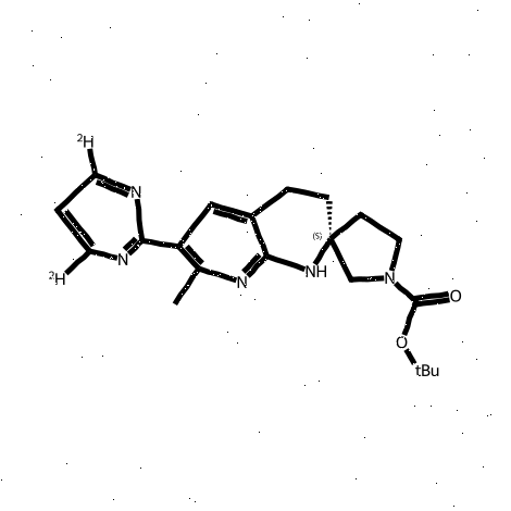 [2H]c1cc([2H])nc(-c2cc3c(nc2C)N[C@@]2(CC3)CCN(C(=O)OC(C)(C)C)C2)n1